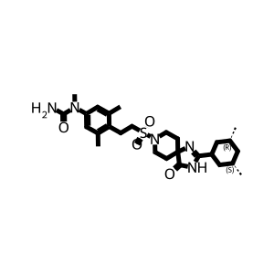 Cc1cc(N(C)C(N)=O)cc(C)c1CCS(=O)(=O)N1CCC2(CC1)N=C(C1C[C@@H](C)C[C@@H](C)C1)NC2=O